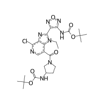 CCn1c(-c2nonc2NC(=O)OC(C)(C)C)nc2c(Cl)ncc(C(=O)N3CCC(NC(=O)OC(C)(C)C)C3)c21